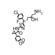 NCC[C@@H](O)CC[C@H](c1cnc(NC(=O)C2(c3ccc4c(c3)OCO4)CC2)s1)c1ccc(Cl)cc1F